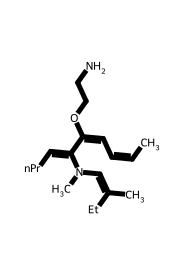 C\C=C/C=C(OCCN)\C(=C\CCC)N(C)/C=C(/C)CC